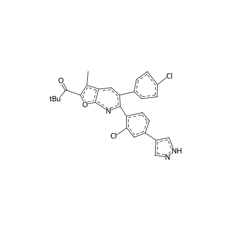 Cc1c(C(=O)C(C)(C)C)oc2nc(-c3ccc(-c4cn[nH]c4)cc3Cl)c(-c3ccc(Cl)cc3)cc12